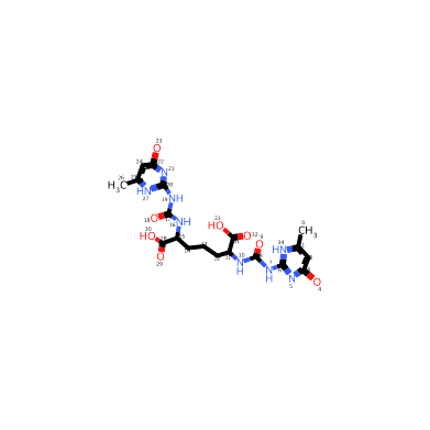 Cc1cc(=O)nc(NC(=O)NC(CCCC(NC(=O)Nc2nc(=O)cc(C)[nH]2)C(=O)O)C(=O)O)[nH]1